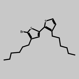 CCCCCCc1cc(-c2sccc2CCCCCC)sc1Br